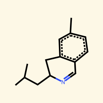 Cc1ccc2c(c1)CC(CC(C)C)N=C2